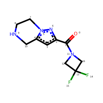 O=C(c1cc2n(n1)CCNC2)N1CC(F)(F)C1